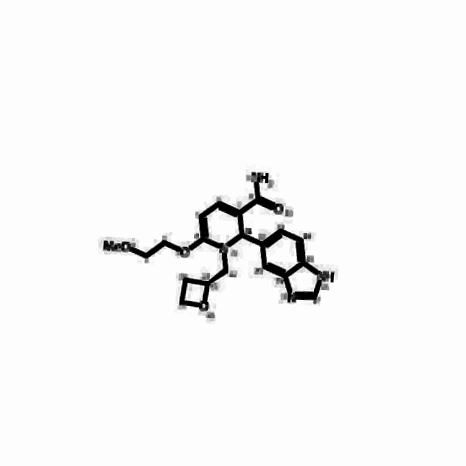 COCCOC1=CC=C(C(N)=O)C(c2ccc3[nH]cnc3c2)N1C[C@@H]1CCO1